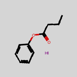 CCCC(=O)Oc1ccccc1.I